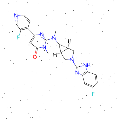 CN(c1nc(-c2ccncc2F)cc(=O)n1C)C1[C@H]2CN(c3nc4cc(F)ccc4[nH]3)C[C@@H]12